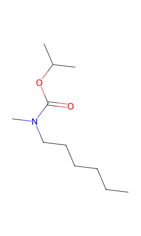 CCCCCCN(C)C(=O)OC(C)C